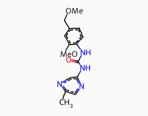 COCc1ccc(NC(=O)Nc2cnc(C)cn2)c(OC)c1